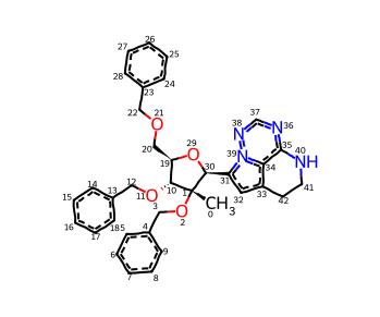 C[C@@]1(OCc2ccccc2)[C@H](OCc2ccccc2)[C@@H](COCc2ccccc2)O[C@H]1c1cc2c3c(ncnn13)NCC2